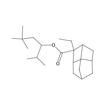 CCC1(C(=O)OC(CC(C)(C)C)C(C)C)C2CC3CC(C2)CC1C3